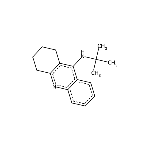 CC(C)(C)Nc1c2c(nc3ccccc13)CCCC2